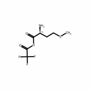 CSCC[C@H](N)C(=O)OC(=O)C(F)(F)F